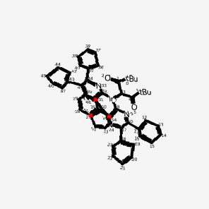 CC(C)(C)C(=O)[CH](C(=O)C(C)(C)C)[Ir]([c]1nc(-c2ccccc2)c(-c2ccccc2)nc1-c1ccccc1)[c]1nc(-c2ccccc2)c(-c2ccccc2)nc1-c1ccccc1